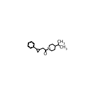 CC(C)C1CCN(C(=O)CC2CC2c2ccccc2)CC1